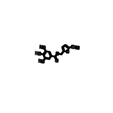 O=Cc1ccc(COC(=O)c2cc(O)c(O)c(O)c2)o1